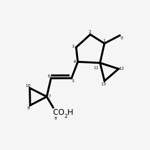 CC1CCC(C=CC2(C(=O)O)CC2)C12CC2